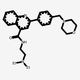 CCN(CC)CCNC(=O)c1cc(-c2ccc(CN3CCOCC3)cc2)nc2ccccc12